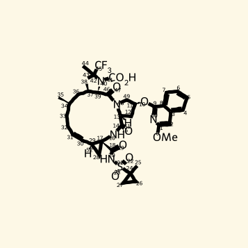 COc1cc2ccccc2c(O[C@@H]2C[C@H]3C(=O)N[C@]4(C(=O)NS(=O)(=O)C5(C)CC5)C[C@H]4/C=C\CC[C@@H](C)C[C@@H](C)[C@H](N(C(=O)O)C(C)(C)C(F)(F)F)C(=O)N3C2)n1